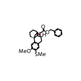 COc1cc2c(cc1SC)C[C@@H]1[C@@H]3CCCC[C@]23CCN1C(=O)OCc1ccccc1